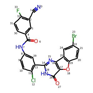 N#Cc1cc(C(=O)Nc2ccc(Cl)c(-c3nc4c(oc5ccc(Br)cc54)c(=O)[nH]3)c2)ccc1F